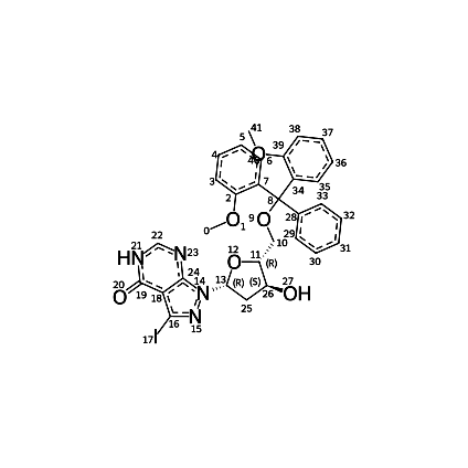 COc1ccccc1C(OC[C@H]1O[C@@H](n2nc(I)c3c(=O)[nH]cnc32)C[C@@H]1O)(c1ccccc1)c1ccccc1OC